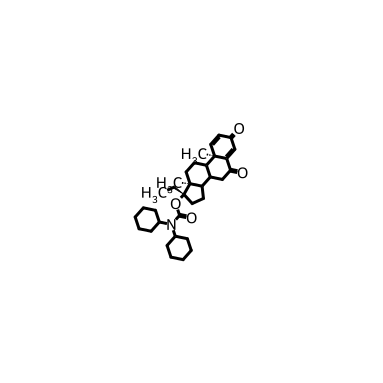 CC[C@]1(OC(=O)N(C2CCCCC2)C2CCCCC2)CCC2C3CC(=O)C4=CC(=O)C=C[C@]4(C)C3CC[C@@]21C